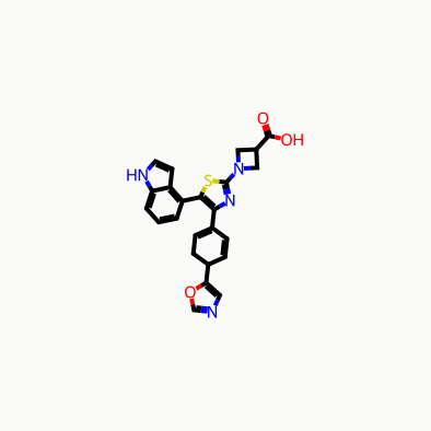 O=C(O)C1CN(c2nc(C3=CCC(c4cnco4)C=C3)c(-c3cccc4[nH]ccc34)s2)C1